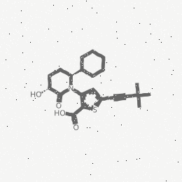 CC(C)(C)C#Cc1cc(N2C(=O)[C@H](O)CC[C@H]2C2CCCCC2)c(C(=O)O)s1